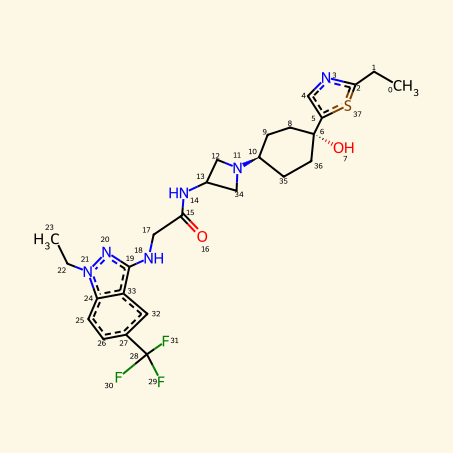 CCc1ncc([C@]2(O)CC[C@H](N3CC(NC(=O)CNc4nn(CC)c5ccc(C(F)(F)F)cc45)C3)CC2)s1